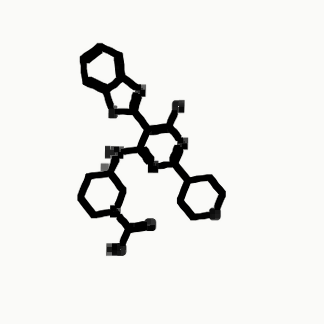 O=C(O)N1CCC[C@@H](Nc2nc(C3CCOCC3)nc(Cl)c2-c2nc3ccccc3s2)C1